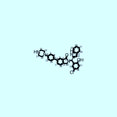 O=C1c2cc(-c3ccc(N4CCNCC4)cc3)ccc2CN1[C@@H](c1cc2ccccc2[nH]1)c1cc(Cl)ccc1O